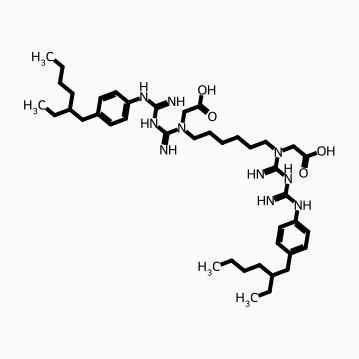 CCCCC(CC)Cc1ccc(NC(=N)NC(=N)N(CCCCCCN(CC(=O)O)C(=N)NC(=N)Nc2ccc(CC(CC)CCCC)cc2)CC(=O)O)cc1